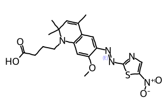 COc1cc2c(cc1/N=N/c1ncc([N+](=O)[O-])s1)C(C)=CC(C)(C)N2CCCC(=O)O